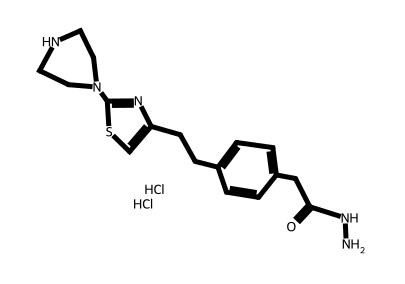 Cl.Cl.NNC(=O)Cc1ccc(CCc2csc(N3CCNCC3)n2)cc1